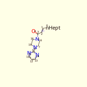 CCCCCCC/C=C/C(=O)N1CCN(c2ncccn2)CC1